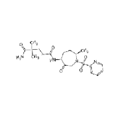 C[C@@H]1CC[C@H](NC(=O)[CH]CC(C)(C)C(N)=O)C(=O)CN1S(=O)(=O)c1ccccn1